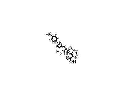 NC(Cc1ccn(-c2ccc(O)cn2)n1)C(=O)NC1=C(C(=O)O)CCCC1